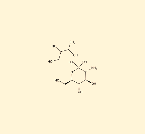 CC(O)C(O)CO.N[C@@H]1[C@@H](O)[C@H](O)[C@@H](CO)OC1(N)O